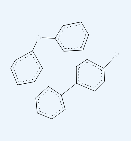 [O]c1ccc(-c2ccccc2)cc1.[c]1ccccc1Oc1ccccc1